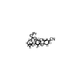 Cc1c(OCC23CCN(C(=O)OC(C)C)CC2C3)ncnc1OC1CC=C(C#N)C=C1Cl